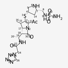 CC(=O)C1=C(S[C@@H]2CN[C@H](CNS(N)(=O)=O)C2)C(C)C2[C@@H]([C@@H](C)NC(=O)Cn3cnnn3)C(=O)N12